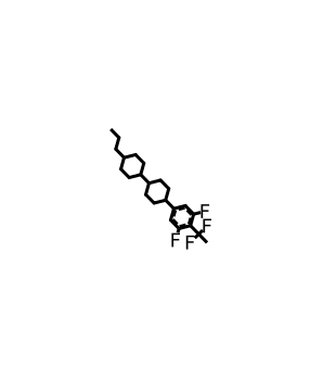 CCCC1CCC(C2CCC(c3cc(F)c(C(C)(F)F)c(F)c3)CC2)CC1